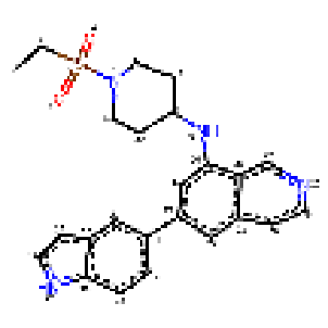 CCS(=O)(=O)N1CCC(Nc2cc(-c3ccc4[nH]ccc4c3)cc3ccncc23)CC1